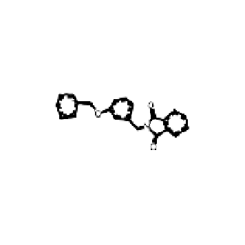 O=C1c2ccccc2C(=O)N1Cc1cccc(OCc2ccccc2)c1